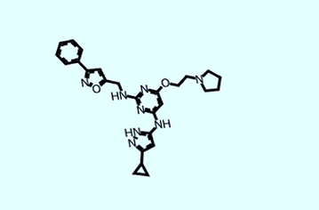 c1ccc(-c2cc(CNc3nc(Nc4cc(C5CC5)n[nH]4)cc(OCCN4CCCC4)n3)on2)cc1